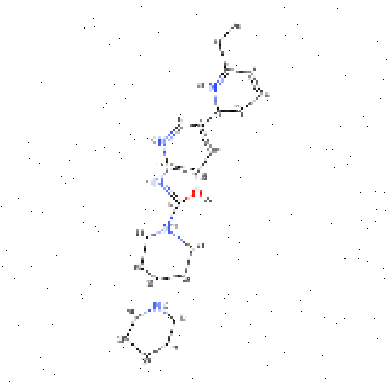 CCc1cccc(-c2cnc3nc(N4CCC(N5CCCCC5)CC4)oc3c2)n1